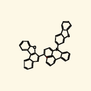 c1ccc(-c2ccccc2N(c2ccc(-c3cc4ccccc4c4c3oc3ccccc34)cc2)c2ccc3c(c2)sc2ccccc23)cc1